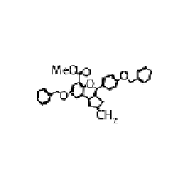 C=C1CC2=C(c3ccc(OCc4ccccc4)cc3)Oc3c(C(=O)OC)cc(OCc4ccccc4)cc3C2C1